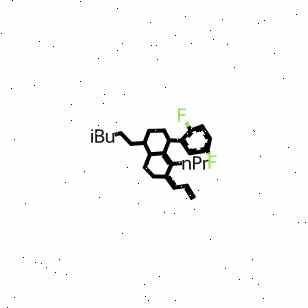 C=C/C=C1/CCC2C(=C1CCC)C(c1cc(F)ccc1F)CCC2CCC(C)CC